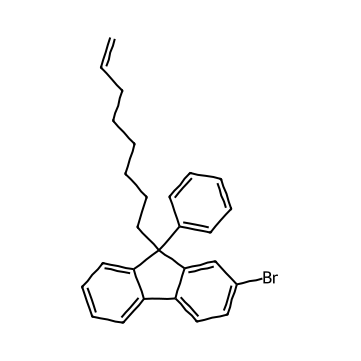 C=CCCCCCCC1(c2ccccc2)c2ccccc2-c2ccc(Br)cc21